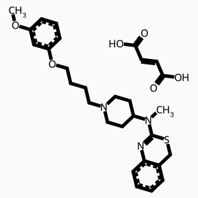 COc1cccc(OCCCCN2CCC(N(C)C3=Nc4ccccc4CS3)CC2)c1.O=C(O)C=CC(=O)O